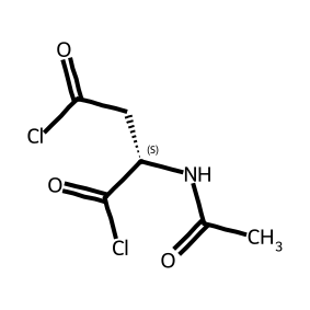 CC(=O)N[C@@H](CC(=O)Cl)C(=O)Cl